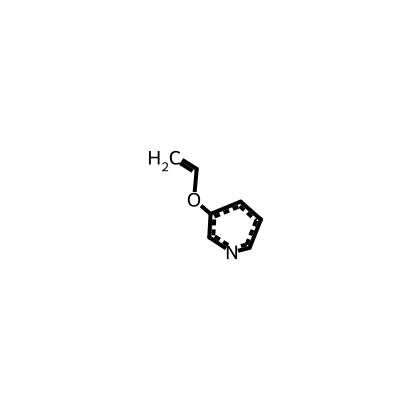 C=COc1cccnc1